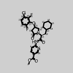 COC(=O)c1ccc(NC(=O)[C@H](CC2CCCCC2)N2CC(Oc3c(F)ccc(Cl)c3F)CC2=O)nc1